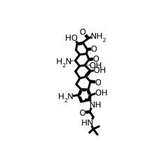 CC(C)(C)NCC(=O)Nc1cc(N)c2c(c1O)C(=O)C1=C(O)[C@]3(O)C(=O)C4C(=O)C(C(N)=O)=C(O)CC4[C@@H](N)C3CC1C2